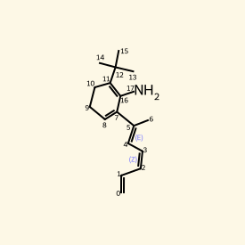 C=C/C=C\C=C(/C)C1=CCCC(C(C)(C)C)=C1N